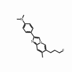 Cc1cc2nc(-c3ccc(N(C)C)cc3)cn2cc1CCCF